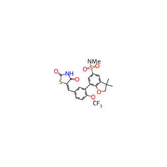 CNS(=O)(=O)c1cc(-c2cc(C=C3SC(=O)NC3=O)ccc2OC(F)(F)F)c2c(c1)C(C)(C)CO2